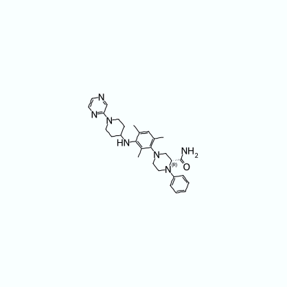 Cc1cc(C)c(N2CCN(c3ccccc3)[C@@H](C(N)=O)C2)c(C)c1NC1CCN(c2cnccn2)CC1